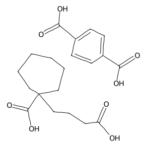 O=C(O)CCCC1(C(=O)O)CCCCCC1.O=C(O)c1ccc(C(=O)O)cc1